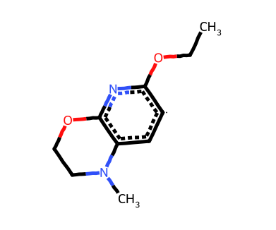 CCOc1[c]cc2c(n1)OCCN2C